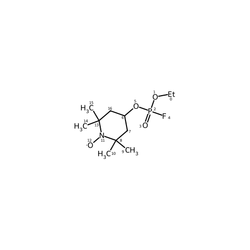 CCOP(=O)(F)OC1CC(C)(C)N([O])C(C)(C)C1